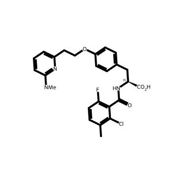 CNc1cccc(CCOc2ccc(C[C@H](NC(=O)c3c(F)ccc(C)c3Cl)C(=O)O)cc2)n1